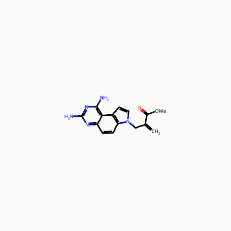 C=C(Cn1ccc2c3c(N)nc(N)nc3ccc21)C(=O)OC